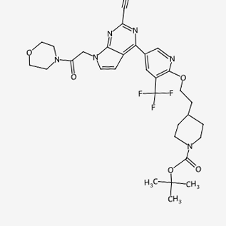 CC(C)(C)OC(=O)N1CCC(CCOc2ncc(-c3nc(C#N)nc4c3ccn4CC(=O)N3CCOCC3)cc2C(F)(F)F)CC1